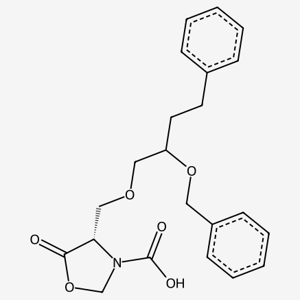 O=C1OCN(C(=O)O)[C@H]1COCC(CCc1ccccc1)OCc1ccccc1